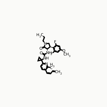 C=C/C=C\c1ccc(C2(NC(=O)N[C@@H]3C(=O)N(CCC)C[C@H]3c3c(F)cc(OC)cc3F)CC2)nc1C